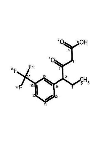 CCC(C(=O)CC(=O)O)c1cccc(C(F)(F)F)c1